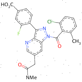 CNC(=O)Cc1cnc2c(-c3ccc(C(=O)O)cc3F)nn(C(=O)c3c(C)cccc3Cl)c2c1